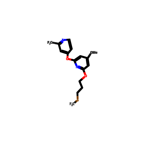 COc1cc(OCCCSC(F)(F)F)nc(Oc2ccnc(C(F)(F)F)c2)c1